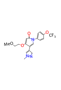 COCCOc1cc(=O)n(-c2ccc(OC(F)(F)F)cc2)cc1-c1cnn(C)c1